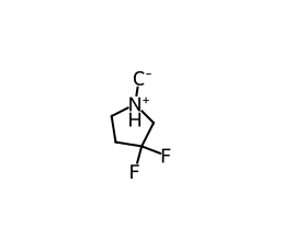 [CH2-][NH+]1CCC(F)(F)C1